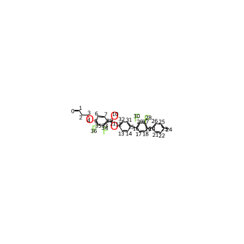 C=CCCOc1ccc(C(=O)Oc2ccc(-c3ccc(-c4ccc(C)cc4)c(F)c3F)cc2)c(F)c1F